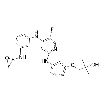 CC(C)(O)COc1cccc(Nc2ncc(F)c(Nc3cccc(NB4CO4)c3)n2)c1